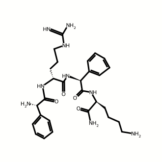 N=C(N)NCCC[C@@H](NC(=O)[C@@H](N)c1ccccc1)C(=O)N[C@H](C(=O)N[C@@H](CCCCN)C(N)=O)c1ccccc1